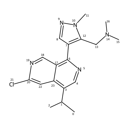 CC(C)c1cnc(-c2cnn(C)c2CN(C)C)c2cnc(Cl)cc12